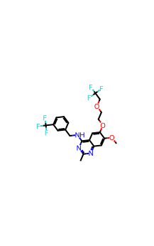 COc1cc2nc(C)nc(NCc3cccc(C(F)(F)F)c3)c2cc1OCCOCC(F)(F)F